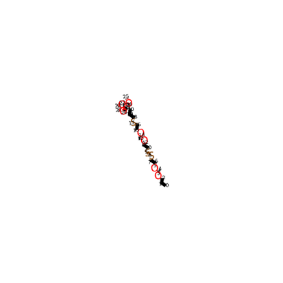 CCCOCOCCSSCCOCOCCSCCC[Si](OC)(OC)OC